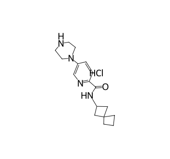 Cl.O=C(NC1CC2(CCC2)C1)c1ccc(N2CCNCC2)cn1